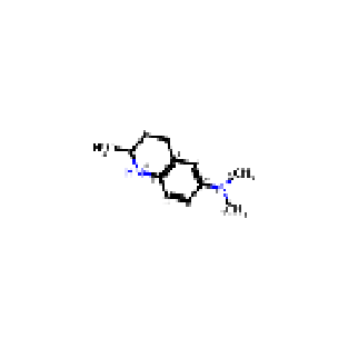 CC1CCc2cc(N(C)C)ccc2N1